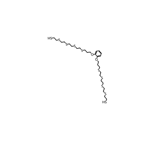 SCCSCCSCCSCCSCCCOc1ccccc1OCCCSCCSCCSCCSCCS